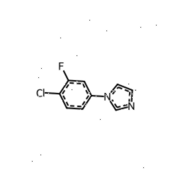 Fc1cc(-n2c[c]nc2)ccc1Cl